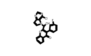 CC(c1oc2ccccc2c(=O)c1-c1cccc(F)c1)n1ccc2ncnc(Cl)c21